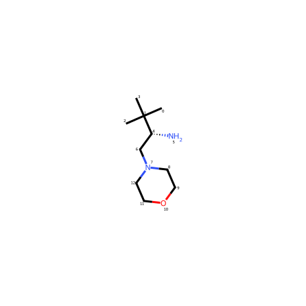 CC(C)(C)[C@H](N)CN1CCOCC1